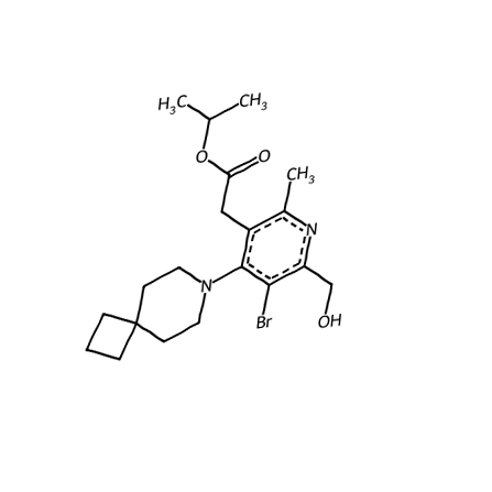 Cc1nc(CO)c(Br)c(N2CCC3(CCC3)CC2)c1CC(=O)OC(C)C